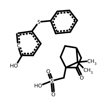 CC1(C)C2CCC1(CS(=O)(=O)O)C(=O)C2.Oc1ccc(Sc2ccccc2)cc1